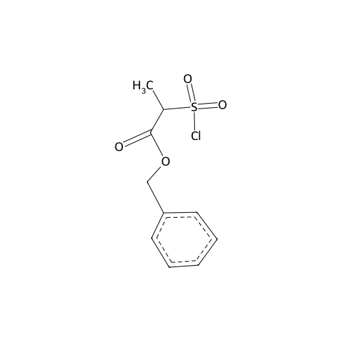 CC(C(=O)OCc1ccccc1)S(=O)(=O)Cl